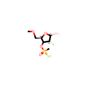 B[C@@H]1O[C@H](COC)C(OP(C)(=O)S)[C@H]1F